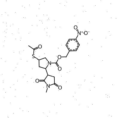 CC(=O)SC1CC(C2CC(=O)N(C)C2=O)N(C(=O)OCc2ccc([N+](=O)[O-])cc2)C1